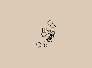 O=C(C[N+]12CCC(CC1)[C@@H](OC(=O)[C@H](Nc1ccccc1)c1csc3ccccc13)C2)c1ccccc1